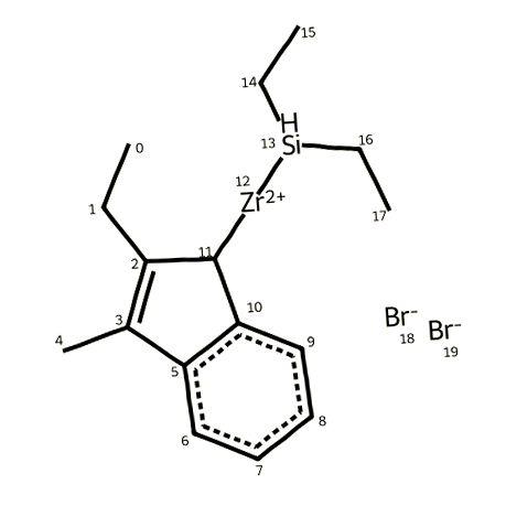 CCC1=C(C)c2ccccc2[CH]1[Zr+2][SiH](CC)CC.[Br-].[Br-]